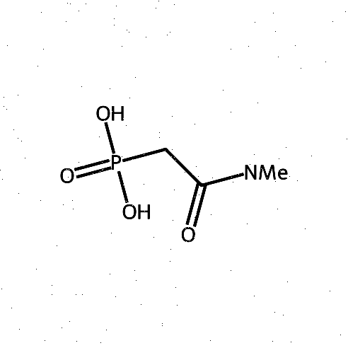 CNC(=O)CP(=O)(O)O